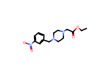 CCOC(=O)CN1CCN(Cc2cccc([N+](=O)[O-])c2)CC1